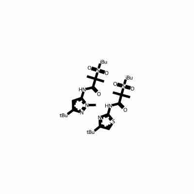 CCC(C)S(=O)(=O)C(C)(C)C(=O)Nc1cc(C(C)(C)C)nn1C.CCC(C)S(=O)(=O)C(C)(C)C(=O)Nc1nc(C(C)(C)C)cs1